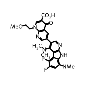 CNc1cc(F)c(F)c2c1[nH]c1ncc(-c3cnc4c(c3)c(=O)c(C(=O)O)cn4CCOC)c(N(C)C)c12